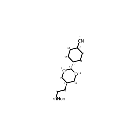 CCCCCCCCCCC[C@H]1CO[C@H](C2CCC(C#N)CC2)OC1